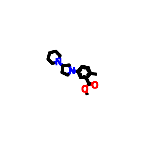 COC(=O)c1cc(N2CCC(N3CCCCC3)C2)ccc1C